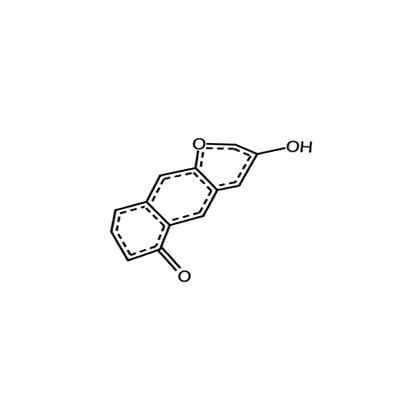 O=c1cccc2cc3occ(O)cc3cc12